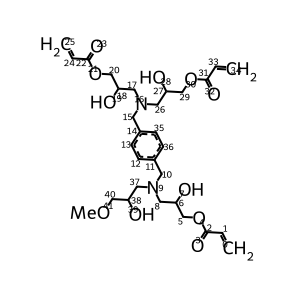 C=CC(=O)OCC(O)CN(Cc1ccc(CN(CC(O)COC(=O)C=C)CC(O)COC(=O)C=C)cc1)CC(O)COC